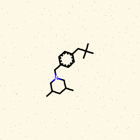 CC1CC(C)CN(Cc2ccc(CC(C)(C)C)cc2)C1